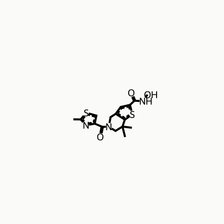 Cc1nc(C(=O)N2Cc3cc(C(=O)NO)sc3C(C)(C)C2)cs1